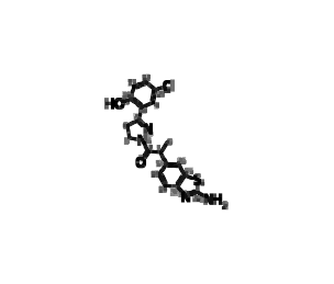 CC(C(=O)N1CCC(c2cc(Cl)ccc2O)=N1)c1ccc2nc(N)sc2c1